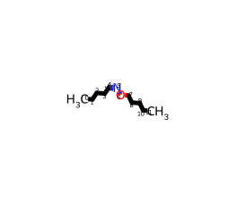 CCCC/[C]=N\OCCCCC